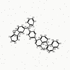 Nc1ccc(-c2ccc(N(c3ccccc3)c3ccc4oc5ccccc5c4c3)cc2)c2cccc(-c3cccc4ccccc34)c12